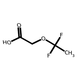 CC(F)(F)OCC(=O)O